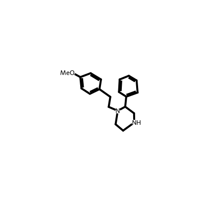 COc1ccc(CCN2CCNCC2c2ccccc2)cc1